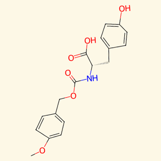 COc1ccc(COC(=O)N[C@@H](Cc2ccc(O)cc2)C(=O)O)cc1